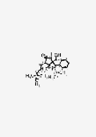 CP(C)O[C@H]([C@@H]1C=CCCC1)[C@@]1(CO)NC(=O)[C@H](CCO[PH](C)(C)C)[C@]1(C)O